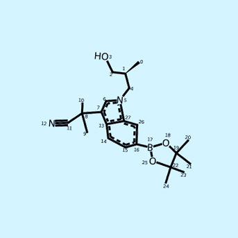 C[C@H](CO)Cn1cc(C(C)(C)C#N)c2ccc(B3OC(C)(C)C(C)(C)O3)cc21